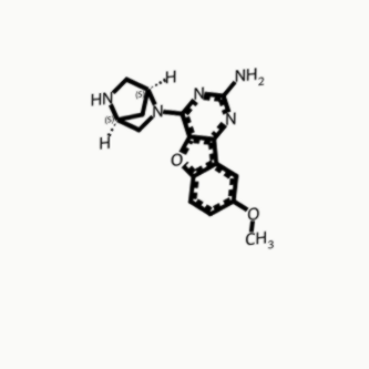 COc1ccc2oc3c(N4C[C@@H]5C[C@H]4CN5)nc(N)nc3c2c1